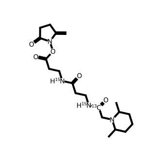 C=C1CCC(=O)N1OC(=O)CC[15NH]C(=O)CC[15NH][13C](=O)CN1C(C)CCCC1C